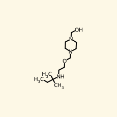 CCC(C)(C)NCCOCN1CCN(CO)CC1